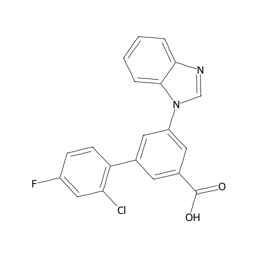 O=C(O)c1cc(-c2ccc(F)cc2Cl)cc(-n2cnc3ccccc32)c1